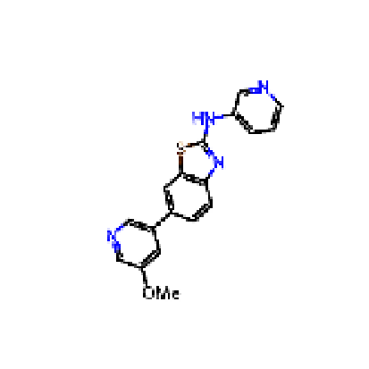 COc1cncc(-c2ccc3nc(Nc4cccnc4)sc3c2)c1